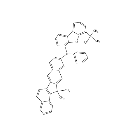 CC(C)(C)c1cccc2c1oc1c(N(c3ccccc3)c3ccc4cc5c(cc4c3)C(C)(C)c3c-5ccc4ccccc34)cccc12